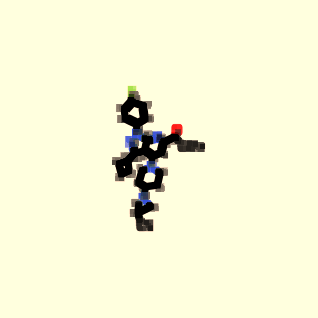 COC(=O)c1cc(N2CCC(N3CC(C#N)C3)CC2)c2c(C3CCC3)nn(-c3ccc(F)cc3)c2n1